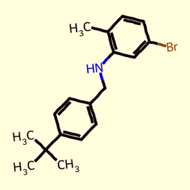 Cc1ccc(Br)cc1NCc1ccc(C(C)(C)C)cc1